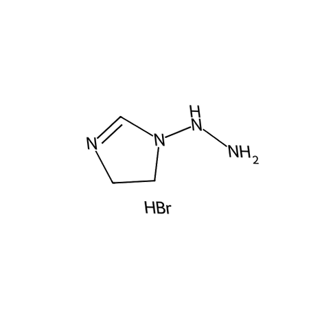 Br.NNN1C=NCC1